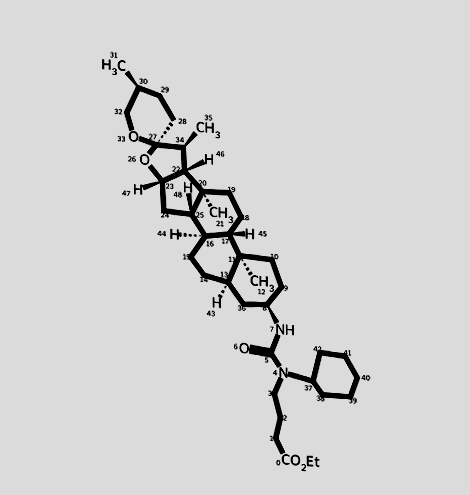 CCOC(=O)CCCN(C(=O)N[C@@H]1CC[C@@]2(C)[C@H](CC[C@@H]3[C@@H]2CC[C@]2(C)[C@@H]4[C@H](C[C@@H]32)O[C@]2(CC[C@H](C)CO2)[C@H]4C)C1)C1CCCCC1